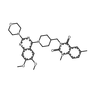 COc1cc2nc(N3CCOCC3)nc(N3CCC(Cn4c(=O)c5cc(C)ccc5n(C)c4=O)CC3)c2cc1OC